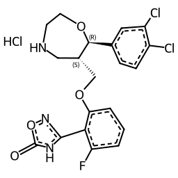 Cl.O=c1[nH]c(-c2c(F)cccc2OC[C@@H]2CNCCO[C@H]2c2ccc(Cl)c(Cl)c2)no1